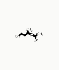 CC(Br)=C=C(C)CCBr